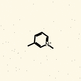 Cc1ccc[n+](C)c1